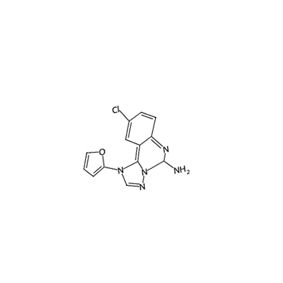 NC1N=c2ccc(Cl)cc2=C2N(c3ccco3)C=NN21